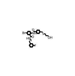 O=C(Nc1ccc(Br)cc1C(=O)N/N=C/c1cccc(F)c1)c1ccc(CSCCCO)cc1